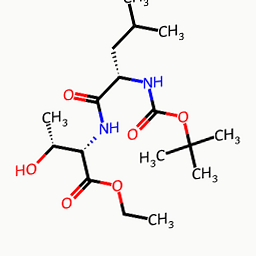 CCOC(=O)[C@@H](NC(=O)[C@H](CC(C)C)NC(=O)OC(C)(C)C)[C@@H](C)O